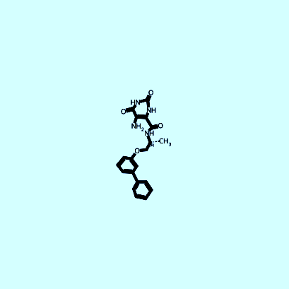 C[C@H](COc1cccc(-c2ccccc2)c1)NC(=O)c1[nH]c(=O)[nH]c(=O)c1N